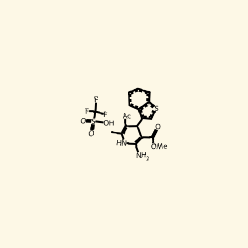 COC(=O)C1=C(N)NC(C)=C(C(C)=O)C1c1csc2ccccc12.O=S(=O)(O)C(F)(F)F